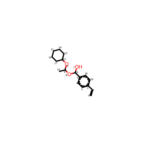 C=Cc1ccc(C(O)OC(C)OC2CCCCC2)cc1